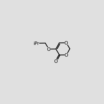 CC(C)COC1=COCOC1=O